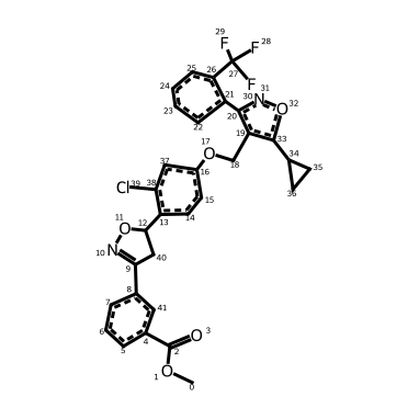 COC(=O)c1cccc(C2=NOC(c3ccc(OCc4c(-c5ccccc5C(F)(F)F)noc4C4CC4)cc3Cl)C2)c1